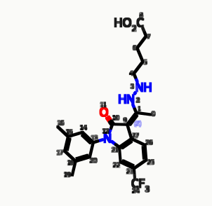 C/C(NNCCCCC(=O)O)=C1/C(=O)N(c2cc(C)cc(C)c2)c2cc(C(F)(F)F)ccc21